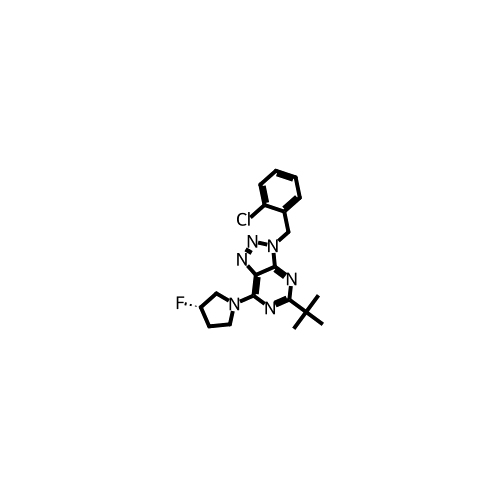 CC(C)(C)c1nc(N2CC[C@H](F)C2)c2nnn(Cc3ccccc3Cl)c2n1